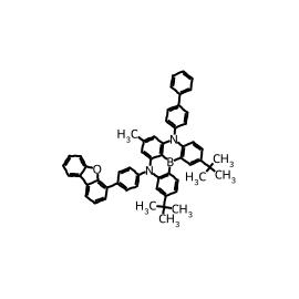 Cc1cc2c3c(c1)N(c1ccc(-c4cccc5c4oc4ccccc45)cc1)c1cc(C(C)(C)C)ccc1B3c1cc(C(C)(C)C)ccc1N2c1ccc(-c2ccccc2)cc1